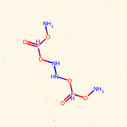 NO[PH](=O)ONNO[PH](=O)ON